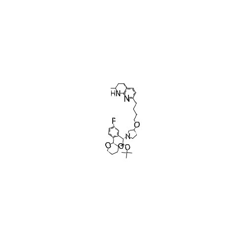 CC1CCc2ccc(CCCCOC3CCN(C(C(=O)OC(C)(C)C)c4cc(F)ccc4C4CCCCO4)C3)nc2N1